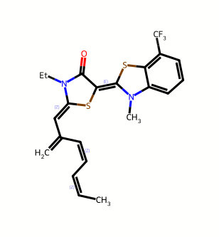 C=C(/C=C\C=C/C)/C=c1\s/c(=C2/Sc3c(cccc3C(F)(F)F)N2C)c(=O)n1CC